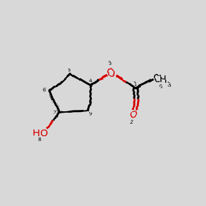 CC(=O)OC1CCC(O)C1